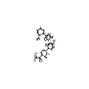 C=Cc1ccccc1-c1nnc(-c2nc(C3=CC=C(C(=O)N(C)C)CC3)cnc2C)o1